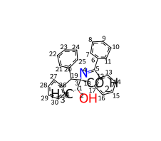 C[C@@H](O)[C@](N=C(c1ccccc1)c1ccccc1)(C(=O)O)C(c1ccccc1)c1ccccc1